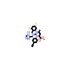 C#Cc1ccc(-[n+]2c(C(=O)OC)cc(C)nc2N(Cc2nnc[nH]2)Cc2ccc(F)cc2F)cc1